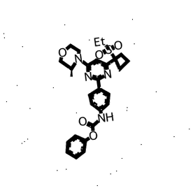 CCS(=O)(=O)C1(c2cc(N3CCOC[C@@H]3C)nc(-c3ccc(NC(=O)Oc4ccccc4)cc3)n2)CCC1